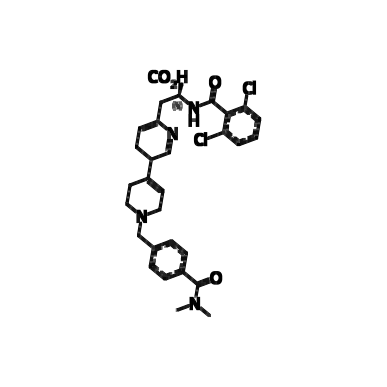 CN(C)C(=O)c1ccc(CN2CC=C(C3C=NC(C[C@H](NC(=O)c4c(Cl)cccc4Cl)C(=O)O)=CC3)CC2)cc1